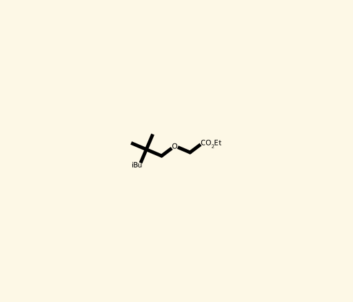 CCOC(=O)COCC(C)(C)C(C)CC